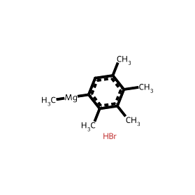 Br.[CH3][Mg][c]1cc(C)c(C)c(C)c1C